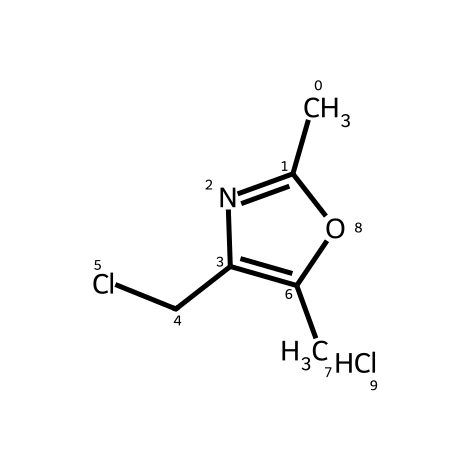 Cc1nc(CCl)c(C)o1.Cl